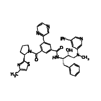 Cc1csc([C@H]2CCCN2C(=O)c2cc(C(=O)N[C@@H](Cc3ccccc3)[C@H](O)CN(C)c3cncc(C(C)C)c3)cc(-c3cnccn3)c2)n1